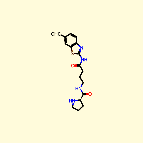 O=Cc1ccc2nc(NC(=O)CCCNC(=O)[C@H]3CCCN3)sc2c1